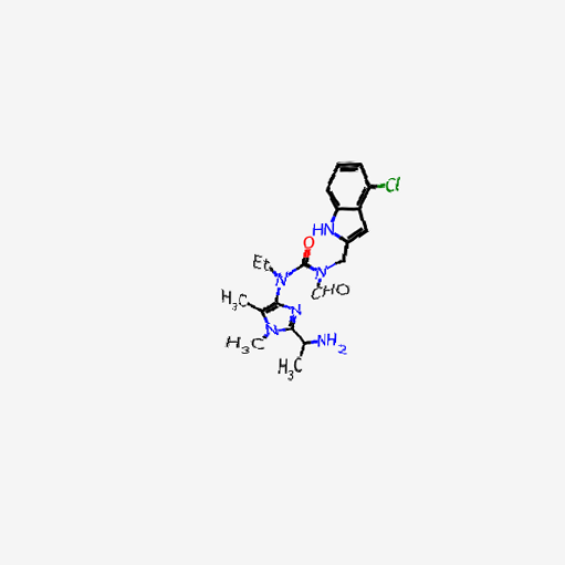 CCN(C(=O)N(C=O)Cc1cc2c(Cl)cccc2[nH]1)c1nc(C(C)N)n(C)c1C